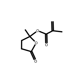 C=C(C)C(=O)OC1(C)CCC(=O)O1